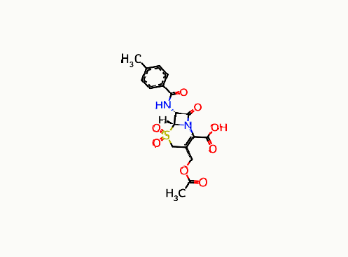 CC(=O)OCC1=C(C(=O)O)N2C(=O)[C@@H](NC(=O)c3ccc(C)cc3)[C@H]2S(=O)(=O)C1